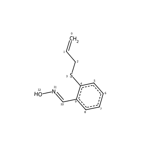 C=CCSc1ccccc1C=NO